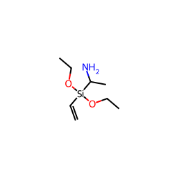 C=C[Si](OCC)(OCC)C(C)N